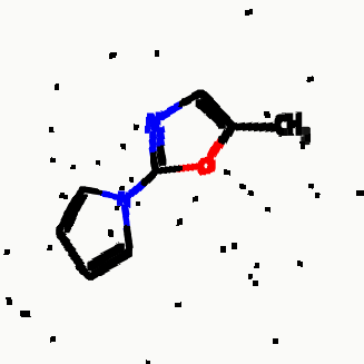 Cc1cnc(-n2cccc2)o1